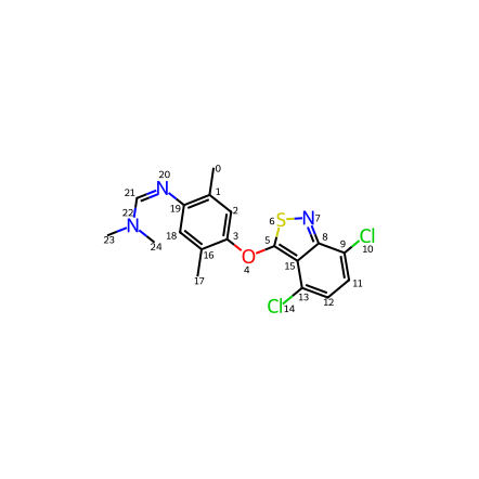 Cc1cc(Oc2snc3c(Cl)ccc(Cl)c23)c(C)cc1/N=C\N(C)C